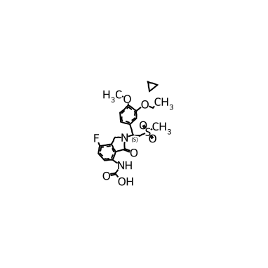 C1CC1.CCOc1cc([C@@H](CS(C)(=O)=O)N2Cc3c(F)ccc(NC(=O)O)c3C2=O)ccc1OC